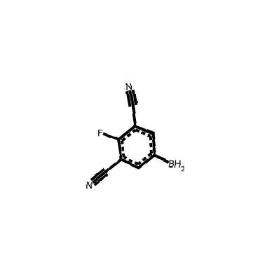 Bc1cc(C#N)c(F)c(C#N)c1